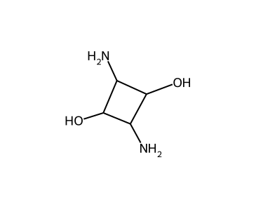 NC1C(O)C(N)C1O